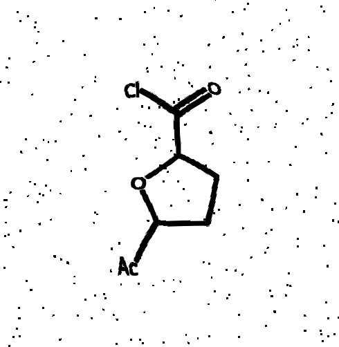 CC(=O)C1CCC(C(=O)Cl)O1